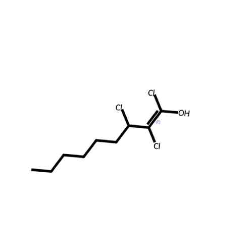 CCCCCCC(Cl)/C(Cl)=C(/O)Cl